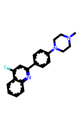 CN1CCN(c2ccc(-c3cc(F)c4ccccc4n3)cc2)CC1